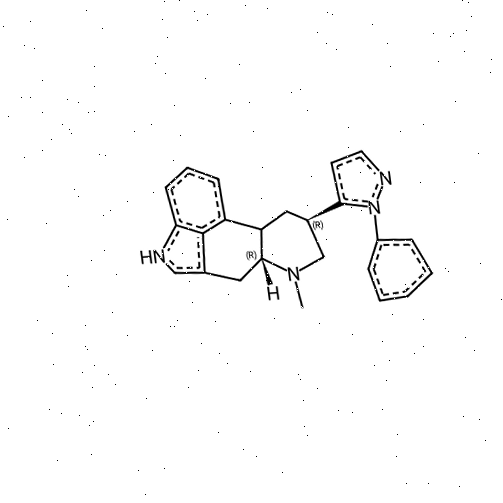 CN1C[C@H](c2ccnn2-c2ccccc2)CC2c3cccc4[nH]cc(c34)C[C@H]21